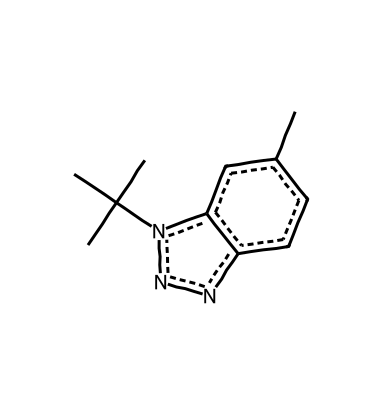 Cc1ccc2nnn(C(C)(C)C)c2c1